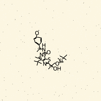 COc1ccc([C@H](C)N[S@@](=O)(=N[Si](C)(C)C(C)(C)C)c2cnc([C@@](C)(O)CO[Si](C)(C)C(C)(C)C)s2)cc1